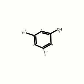 Oc1cccc(O)c1.[H+]